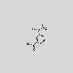 CC(=O)C(Br)c1cccc(C(=O)O)c1